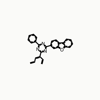 C=C/C=C(\C=C)c1nc(-c2ccccc2)nc(-c2ccc3c(c2)oc2ccccc23)n1